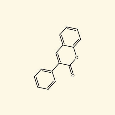 O=c1oc2cc[c]cc2cc1-c1ccccc1